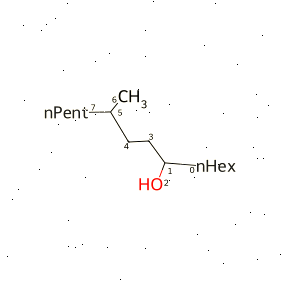 CCCCCCC(O)CCC(C)CCCCC